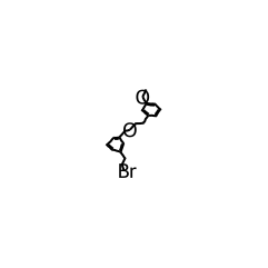 COc1cccc(CCOCc2cccc(CCBr)c2)c1